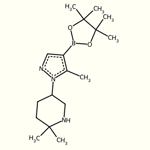 Cc1c(B2OC(C)(C)C(C)(C)O2)cnn1C1CCC(C)(C)NC1